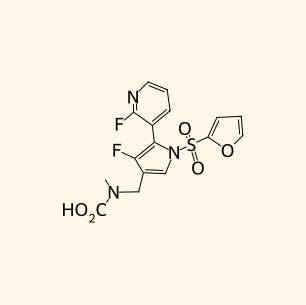 CN(Cc1cn(S(=O)(=O)c2ccco2)c(-c2cccnc2F)c1F)C(=O)O